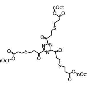 CCCCCCCCOC(=O)CCSCCC(=O)c1nc(C(=O)CCSCCC(=O)OCCCCCCCC)nc(C(=O)CCSCCC(=O)OCCCCCCCC)n1